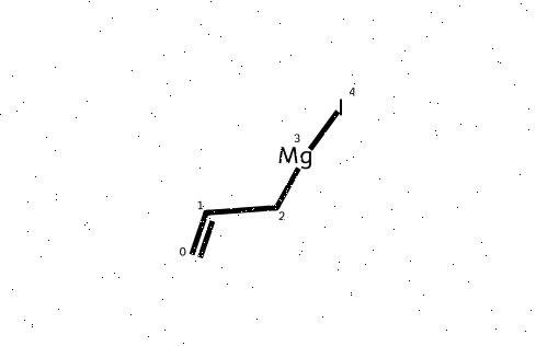 C=C[CH2][Mg][I]